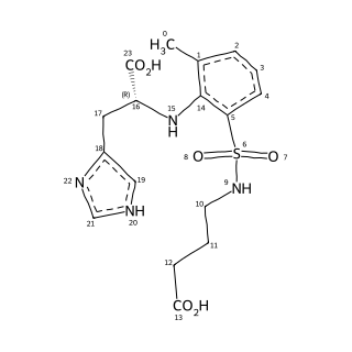 Cc1cccc(S(=O)(=O)NCCCC(=O)O)c1N[C@H](Cc1c[nH]cn1)C(=O)O